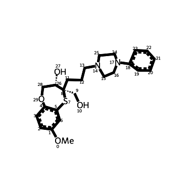 COc1ccc2c(c1)S[C@](CO)(CCCN1CCN(c3ccccc3)CC1)[C@@H](O)CO2